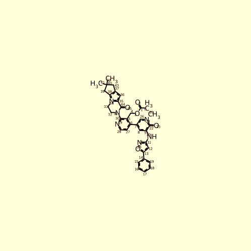 CC(=O)OCc1c(-c2cc(Nc3cc(-c4ccccc4)on3)c(=O)n(C)c2)ccnc1N1CCn2c(cc3c2CC(C)(C)C3)C1=O